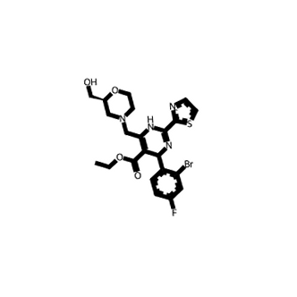 CCOC(=O)C1=C(CN2CCO[C@H](CO)C2)NC(c2nccs2)=NC1c1ccc(F)cc1Br